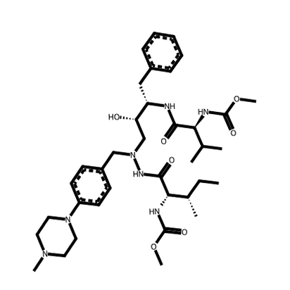 CC[C@H](C)[C@H](NC(=O)OC)C(=O)NN(Cc1ccc(N2CCN(C)CC2)cc1)C[C@H](O)[C@H](Cc1ccccc1)NC(=O)[C@@H](NC(=O)OC)C(C)C